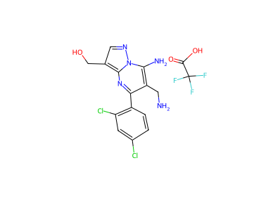 NCc1c(-c2ccc(Cl)cc2Cl)nc2c(CO)cnn2c1N.O=C(O)C(F)(F)F